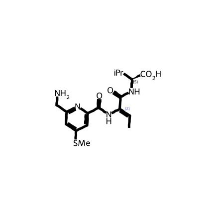 C/C=C(\NC(=O)c1cc(SC)cc(CN)n1)C(=O)N[C@H](C(=O)O)C(C)C